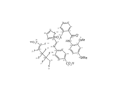 COc1ccc(NC(=O)c2ccccc2C(=O)O)c(OC)c1.O=C(O)C(F)=C(F)C(F)(F)C(F)(F)CF.O=C(O)c1ccc(N=Cc2cccs2)cc1